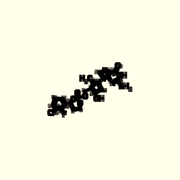 C=C1[C@H](CO[P@]2(=O)OCC[C@H](c3cccc(Cl)c3F)O2)[C@@H](O)C[C@@H]1n1cnc2c(=O)[nH]c(N)nc21